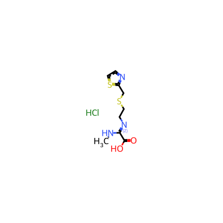 CN/C(=N\CCSCc1nccs1)C(=O)O.Cl